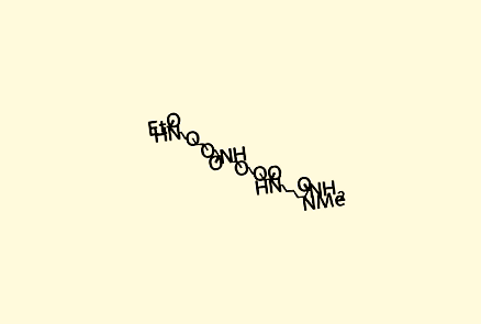 CCC(=O)NCCOCCOCC(=O)NCCOCCOCC(=O)NCCCCC(NC)C(N)=O